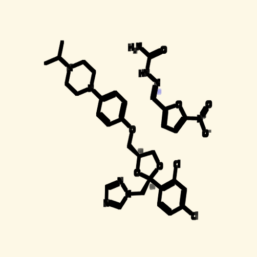 CC(C)N1CCN(c2ccc(OC[C@H]3CO[C@](Cn4cncn4)(c4ccc(Cl)cc4Cl)O3)cc2)CC1.NC(=O)N/N=C/c1ccc([N+](=O)[O-])o1